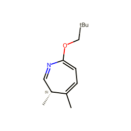 CC1=CC=C(OCC(C)(C)C)N=C[C@H]1C